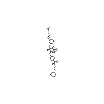 CN(C)CCCOc1ccc(/C=c2\[nH]c(=O)/c(=C/c3ccc(C(=O)NCCCc4ccccc4)cc3)[nH]c2=O)cc1